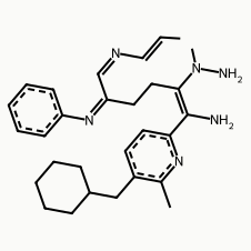 C/C=C/N=C\C(CC/C(=C(/N)c1ccc(CC2CCCCC2)c(C)n1)N(C)N)=N/c1ccccc1